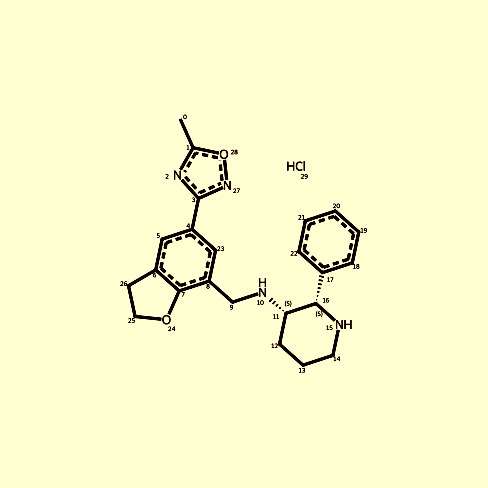 Cc1nc(-c2cc3c(c(CN[C@H]4CCCN[C@H]4c4ccccc4)c2)OCC3)no1.Cl